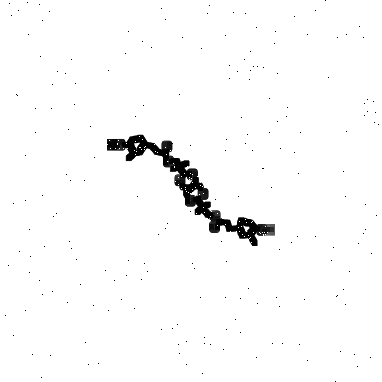 Cc1cc(CCC(=O)OCC(C)(C)C2OCC3(CO2)COC(C(C)(C)COC(=O)CCc2ccc(O)c(C)c2)OC3)ccc1O